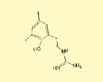 Cc1cc(I)cc(CCNC(=N)N)c1O